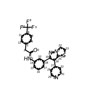 O=C(Cc1ccc(C(F)(F)F)cc1)Nc1cccc(-c2nn3ccsc3c2-c2ccncc2)c1